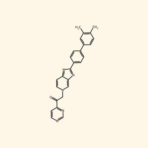 Cc1ccc(-c2ccc(-c3nc4ccn(CC(=O)c5ccncn5)cc-4n3)cc2)cc1C